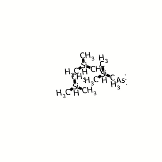 C[SiH](C)C.C[SiH](C)C.C[SiH](C)C.[As]